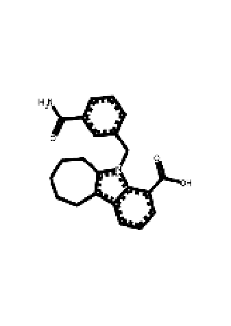 NC(=O)c1cccc(Cn2c3c(c4cccc(C(=O)O)c42)CCCCC3)c1